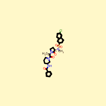 C[C@H](C(=O)N1CCCC(NC(=O)c2ccccc2)C1)N1CC[C@H](N(C)S(=O)(=O)c2ccc3cc(Cl)ccc3c2)C1=O